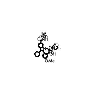 COc1ccc2c(c1)[C@H](O)[C@@](O)(C(=O)N1C[C@@H](C)O[C@@H](C)C1)Cn1c-2c(C2CCCCC2)c2ccc(C(=O)NS(=O)(=O)N(C)C)cc21